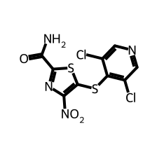 NC(=O)c1nc([N+](=O)[O-])c(Sc2c(Cl)cncc2Cl)s1